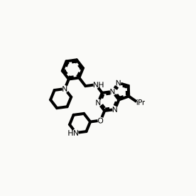 CC(C)c1cnn2c(NCc3ccccc3N3CCCCC3)nc(OC3CCCNC3)nc12